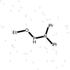 CCOPN(C(C)C)C(C)C